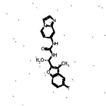 Cc1c([C@H](C)NC(=O)Nc2ccn3ccnc3c2)oc2ccc(F)cc12